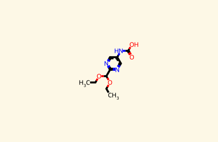 CCOC(OCC)c1ncc(NC(=O)O)cn1